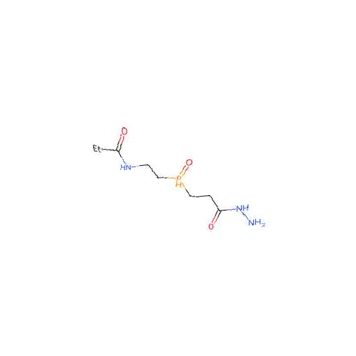 CCC(=O)NCC[PH](=O)CCC(=O)NN